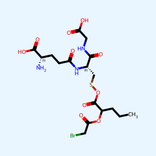 CCCC(OC(=O)CBr)C(=O)OSC[C@H](NC(=O)CC[C@H](N)C(=O)O)C(=O)NCC(=O)O